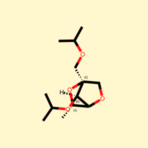 CC(C)OC[C@@]12COC([C@H](C)O1)[C@H]2OC(C)C